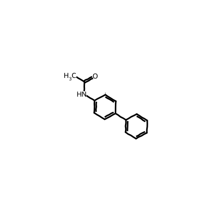 CC(=O)Nc1[c]cc(-c2ccccc2)cc1